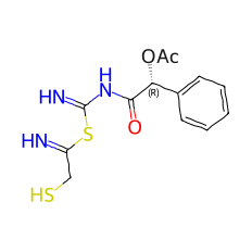 CC(=O)O[C@@H](C(=O)NC(=N)SC(=N)CS)c1ccccc1